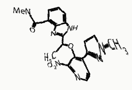 CNC(=O)c1cccc2[nH]c(C(C)Oc3c(-c4ccn(C)n4)ccnc3[N+](=O)[O-])nc12